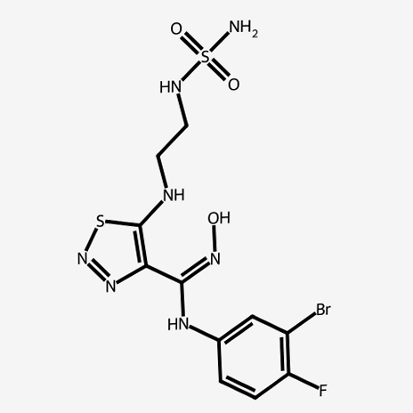 NS(=O)(=O)NCCNc1snnc1C(=NO)Nc1ccc(F)c(Br)c1